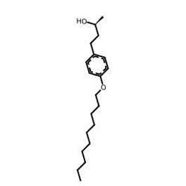 CCCCCCCCCCOc1ccc(CC[C@H](C)O)cc1